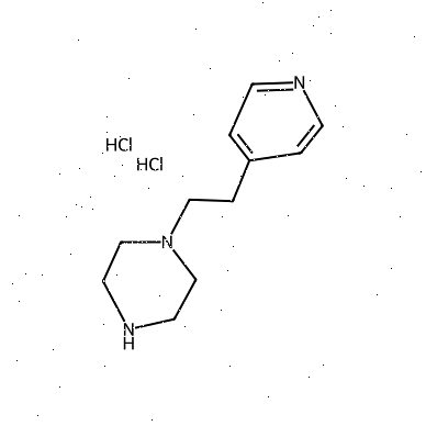 Cl.Cl.c1cc(CCN2CCNCC2)ccn1